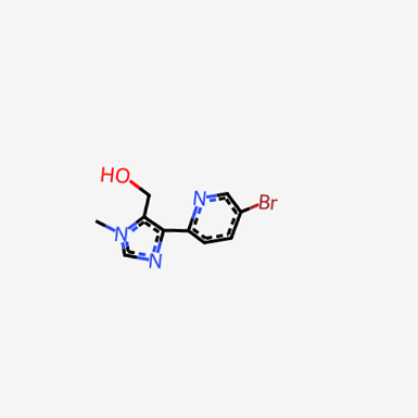 Cn1cnc(-c2ccc(Br)cn2)c1CO